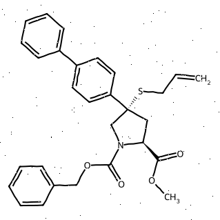 C=CCS[C@]1(c2ccc(-c3ccccc3)cc2)C[C@@H](C(=O)OC)N(C(=O)OCc2ccccc2)C1